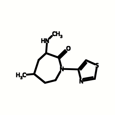 CNC1CC(C)CCN(c2cscn2)C1=O